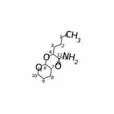 CCCCC(OC1CCCCO1)C(N)=O